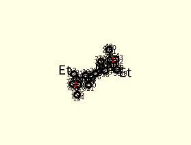 CCc1ccc(N(c2ccc(-c3ccccc3)cc2)c2ccc3c4cc5c(cc4n4c6ccccc6c2c34)c2ccc(N(c3ccc(-c4ccccc4)cc3)c3ccc(CC)cc3-c3ccccc3)c3c4ccccc4n5c23)c(-c2ccccc2)c1